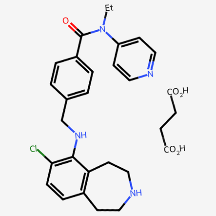 CCN(C(=O)c1ccc(CNc2c(Cl)ccc3c2CCNCC3)cc1)c1ccncc1.O=C(O)CCC(=O)O